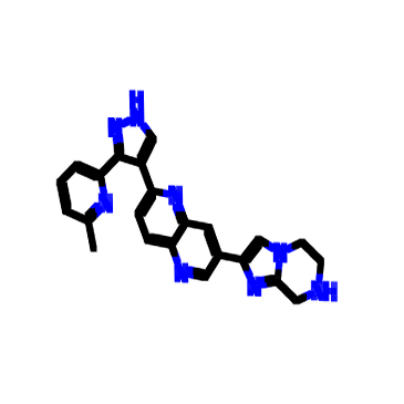 Cc1cccc(-c2n[nH]cc2-c2ccc3ncc(-c4cn5c(n4)CNCC5)cc3n2)n1